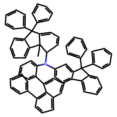 CC12C(=CC=CC1N(c1ccc3c(c1)C(c1ccccc1)(c1ccccc1)c1ccccc1-3)c1ccccc1-c1cccc3cccc(-c4ccccc4)c13)C(c1ccccc1)(c1ccccc1)c1ccccc12